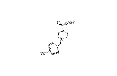 COC(=O)C1CCN(Cc2ccc(Br)cn2)CC1